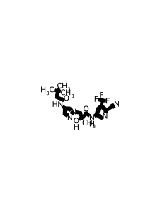 CC(C)(C)CC(=O)Nc1cnn(C[C@](C)(O)C(=O)Nc2cnc(C#N)c(C(F)(F)F)c2)c1